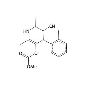 COC(=O)OC1=C(C)NC(C)C(C#N)C1c1ccccc1C